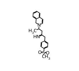 CC(CC(=N)Cc1ccc(S(C)(=O)=O)cc1)N1C=Cc2ccccc2C1